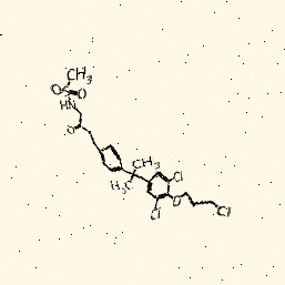 CC(C)(c1ccc(CCC(=O)CNS(C)(=O)=O)cc1)c1cc(Cl)c(OCCCCl)c(Cl)c1